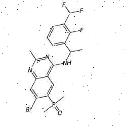 Cc1nc(NC(C)c2cccc(C(F)F)c2F)c2cc(P(C)(C)=O)c(Br)cc2n1